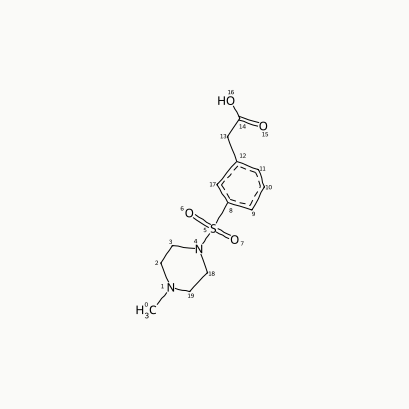 CN1CCN(S(=O)(=O)c2cccc(CC(=O)O)c2)CC1